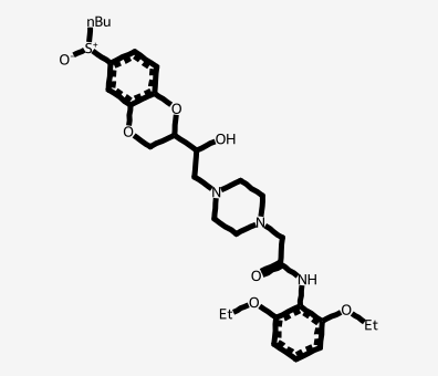 CCCC[S+]([O-])c1ccc2c(c1)OCC(C(O)CN1CCN(CC(=O)Nc3c(OCC)cccc3OCC)CC1)O2